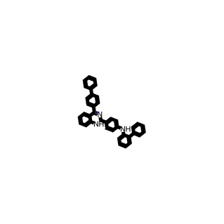 Nc1ccccc1/C(=N\Cc1ccc(Nc2ccccc2-c2ccccc2)cc1)c1ccc(-c2ccccc2)cc1